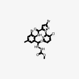 COC(=O)NNC(=O)c1cc(C)cc(Br)c1NC(=O)c1cc(Br)nn1-c1ncccc1Cl